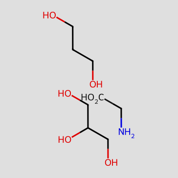 NCC(=O)O.OCC(O)CO.OCCCO